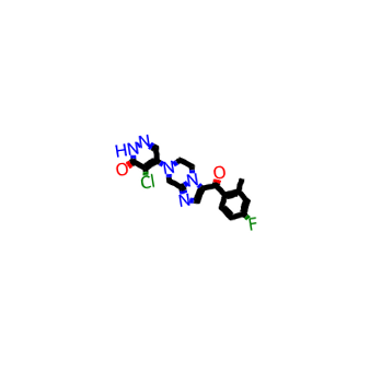 Cc1cc(F)ccc1C(=O)c1cnc2n1CCN(c1cn[nH]c(=O)c1Cl)C2